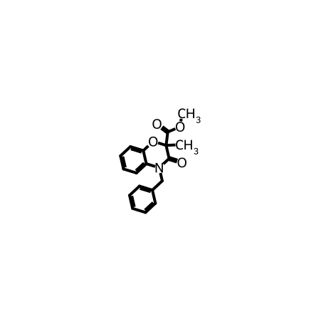 COC(=O)C1(C)Oc2ccccc2N(Cc2ccccc2)C1=O